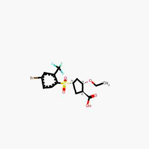 CCO[C@H]1C[C@@H](S(=O)(=O)c2ccc(Br)cc2C(F)(F)F)C[C@@H]1C(=O)O